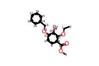 CCOc1c(C(=O)OC)ccc(OCc2ccccc2)c1Br